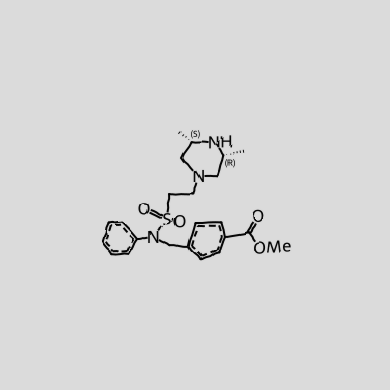 COC(=O)c1ccc(CN(c2ccccc2)S(=O)(=O)CCN2C[C@@H](C)N[C@@H](C)C2)cc1